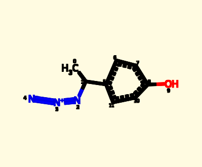 CC(N=[N+]=[N-])c1ccc(O)cc1